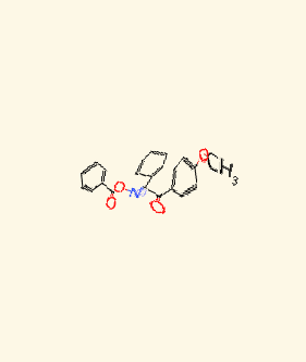 COc1ccc(C(=O)/C(=N/OC(=O)c2ccccc2)c2ccccc2)cc1